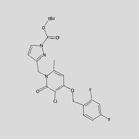 Cc1cc(OCc2ccc(F)cc2F)c(Cl)c(=O)n1Cc1ccn(C(=O)OC(C)(C)C)n1